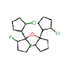 FC1CCCC1(OC1(C2CCCC2Cl)CCCC1F)C1CCCC1Cl